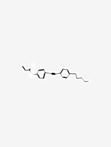 C=CC(=O)Oc1ccc(C#Cc2ccc(CCCCC)cc2)cc1